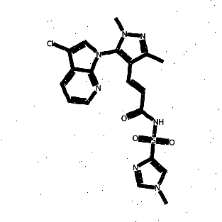 Cc1nn(C)c(-n2cc(Cl)c3cccnc32)c1C=CC(=O)NS(=O)(=O)c1cn(C)cn1